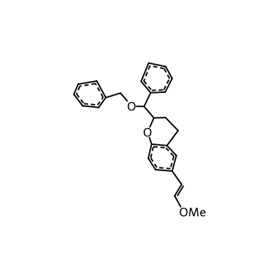 COC=Cc1ccc2c(c1)CCC(C(OCc1ccccc1)c1ccccc1)O2